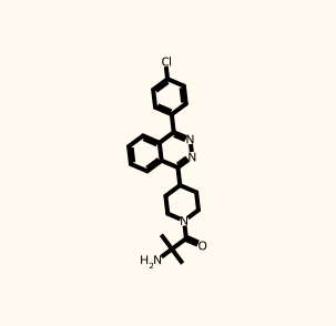 CC(C)(N)C(=O)N1CCC(c2nnc(-c3ccc(Cl)cc3)c3ccccc23)CC1